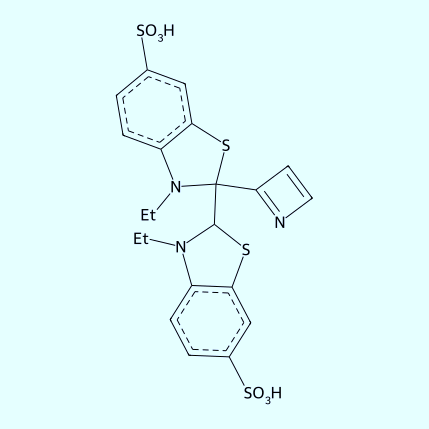 CCN1c2ccc(S(=O)(=O)O)cc2SC1C1(C2=NC=C2)Sc2cc(S(=O)(=O)O)ccc2N1CC